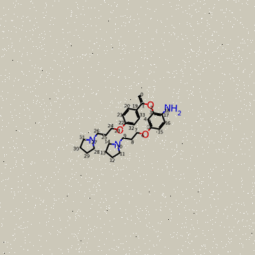 C=C(Oc1cc(OCCCN2CCCC2)ccc1N)c1ccc(OCCCN2CCCC2)cc1